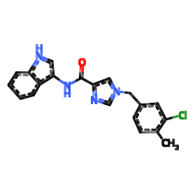 Cc1ccc(Cn2cnc(C(=O)Nc3c[nH]c4ccccc34)c2)cc1Cl